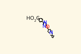 CC1(CN2CCC(COc3cnc(-c4ccc(C(=O)O)cc4)cn3)CC2)CCC1